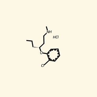 CCC[C@H](CCNC)Oc1ccccc1Cl.Cl